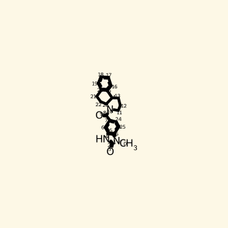 Cn1c(=O)[nH]c2cc(C(=O)N3CCCC4c5ccccc5CCC43)ccc21